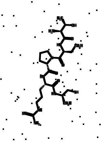 C[C@@H](O)[C@H](N)C(=O)N[C@@H](CC(=O)O)C(=O)N1CCC[C@H]1C(=O)N[C@@H](CCCNC(=N)N)C(=O)N[C@@H](CS)C(=O)O